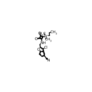 CCC[N+](C)(C)c1c(NCc2oc3ccc(C#N)cc3c2Cl)c(=O)c1=O